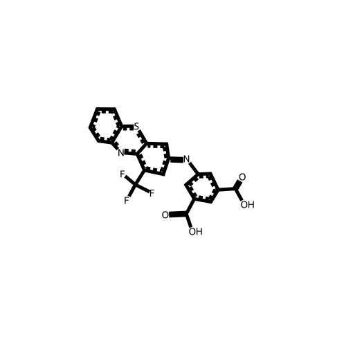 O=C(O)c1cc(N=c2cc3sc4ccccc4nc-3c(C(F)(F)F)c2)cc(C(=O)O)c1